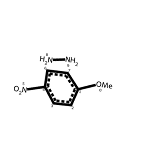 COc1ccc([N+](=O)[O-])cc1.NN